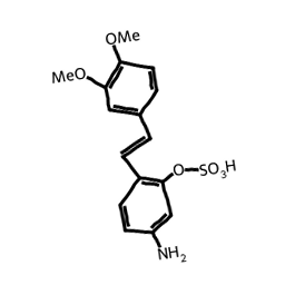 COc1ccc(C=Cc2ccc(N)cc2OS(=O)(=O)O)cc1OC